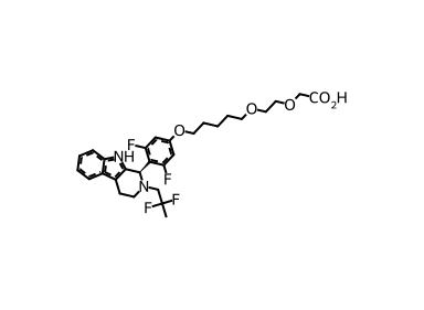 CC(F)(F)CN1CCc2c([nH]c3ccccc23)[C@H]1c1c(F)cc(OCCCCCOCCOCC(=O)O)cc1F